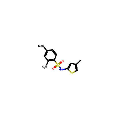 COc1ccc(S(=O)(=O)Nc2cc(C)cs2)c([N+](=O)[O-])c1